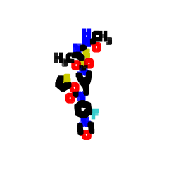 CC(=O)Nc1nc(C)c(S(=O)(=O)N2CC3C(CN(C(=O)Oc4cccs4)c4ccc(N5CCOCC5)c(F)c4)C3C2)s1